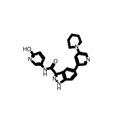 O=C(Nc1ccc(O)nc1)c1n[nH]c2ccc(-c3cncc(N4CCCCC4)c3)cc12